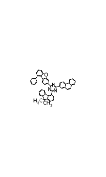 CC1(C)c2ccccc2-c2c(-c3nc(-c4ccc5c(ccc6ccccc65)c4)nc(-c4ccc5c(c4)oc4cccc(-c6ccccc6)c45)n3)cccc21